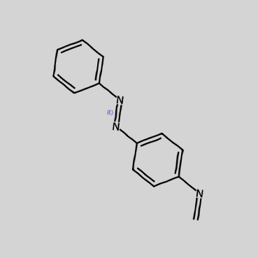 C=Nc1ccc(/N=N/c2ccccc2)cc1